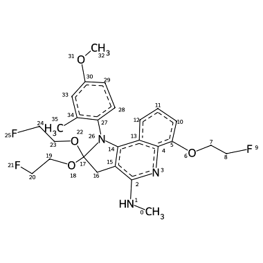 CNc1nc2c(OCCF)cccc2c2c1CC(OCCF)(OCCF)N2c1ccc(OC)cc1C